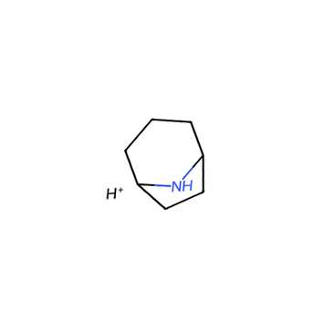 C1CC2CCC(C1)N2.[H+]